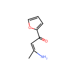 CC(N)=CC(=O)c1ccco1